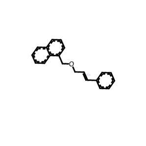 C(=C\c1ccccc1)/COCc1cccc2ccccc12